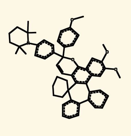 COc1ccc(C2(c3ccc(N4C(C)(C)CCCC4(C)C)cc3)C=Cc3c4c(c5cc(OC)c(OC)cc5c3O2)-c2ccccc2-c2ccccc2C42CCCCC2)cc1